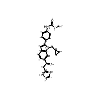 CC(C)OC(=O)Nc1ccc(-c2cc3ccc(C(=O)Cc4ncn[nH]4)cc3n2CC2CC2)cc1